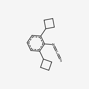 S=C=Nc1c(C2CCC2)cccc1C1CCC1